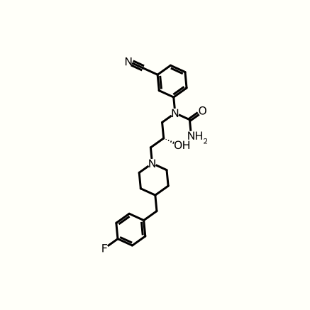 N#Cc1cccc(N(C[C@H](O)CN2CCC(Cc3ccc(F)cc3)CC2)C(N)=O)c1